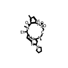 CCC1c2cc3nc(N4CCCC4)cc(n3n2)N(C)CCCS(=O)(=O)Nc2ccc(C)cc2C(=O)N1C